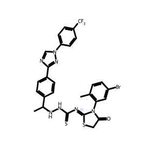 Cc1ccc(Br)cc1N1C(=O)CS/C1=N\C(=S)NNC(C)c1ccc(-c2ncn(-c3ccc(C(F)(F)F)cc3)n2)cc1